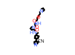 CC(NC(=O)C1CCCN1C(=O)CNC(=O)CCOCCCN1CCCC1)c1ccc(-c2ccncc2C#N)cc1